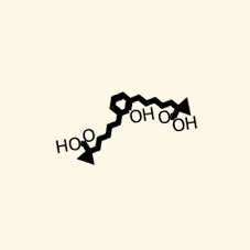 O=C(O)C1(CCCCCc2cccc(CCCCCC3(C(=O)O)CC3)c2O)CC1